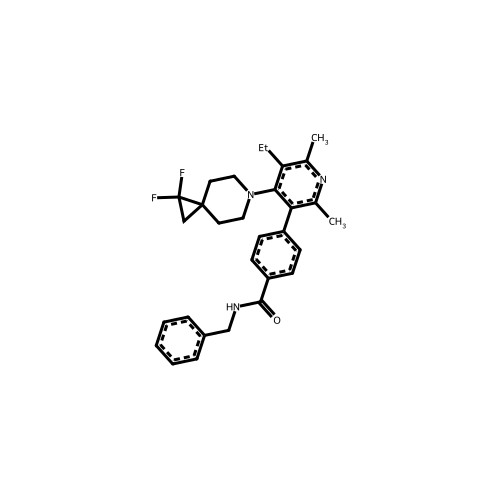 CCc1c(C)nc(C)c(-c2ccc(C(=O)NCc3ccccc3)cc2)c1N1CCC2(CC1)CC2(F)F